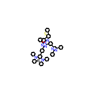 c1ccc(-c2cc(-c3ccc(-n4c5ccccc5c5c6sc7ccccc7c6ccc54)c(-c4nc(-c5ccccc5)nc(-c5ccc(-c6cc7c8c(c6)N(c6ccccc6)c6ccccc6B8c6ccccc6N7c6ccccc6)cc5)n4)c3)nc(-c3ccccc3)n2)cc1